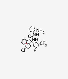 N[C@@H]1CCCC[C@H]1NC(=O)N[C@](Cc1ccccc1)(c1cc(F)cc(C(F)(F)F)c1)c1ccc(Cl)cn1